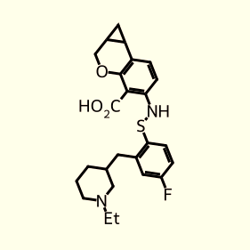 CCN1CCCC(Cc2cc(F)ccc2SNc2ccc3c(c2C(=O)O)OCC2CC32)C1